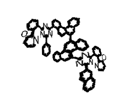 c1ccc(-c2nc(-c3cccc4c3ccc3c(-c5cc6c7ccccc7cc(-c7nc(-c8ccc9ccccc9c8)nc(-c8cccc9oc%10cccnc%10c89)n7)c6c6ccccc56)cc5ccccc5c34)nc(-c3cccc4oc5cccnc5c34)n2)cc1